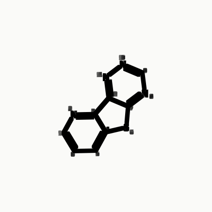 c1cnc2c(c1)sc1ncnnc12